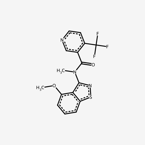 COc1cccc2snc(N(C)C(=O)c3cnccc3C(F)(F)F)c12